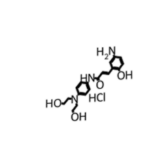 Cl.Nc1ccc(O)c(/C=C/C(=O)Nc2ccc(N(CCO)CCO)cc2)c1